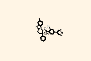 Cc1ccc2c(c1)nc1n2C[C@@](NC(=O)c2ccc(-c3cncnc3)cc2Cl)(c2ccccc2)CC1